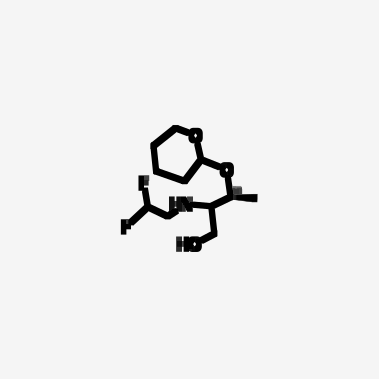 C[C@H](OC1CCCCO1)C(CO)NCC(F)F